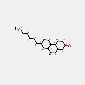 CCCCCCC1CCC2C(CCC3CC(=O)CCC32)C1